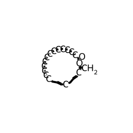 C=C1C/C=C/CC/C=C/CCCCCCCCCCCCCCC(=O)O1